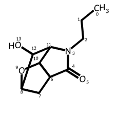 CCCN1C(=O)C2CC3OC2C1C3O